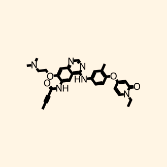 CC#CC(=O)Nc1cc2c(Nc3ccc(Oc4ccn(CC)c(=O)c4)c(C)c3)ncnc2cc1OCCN(C)C